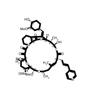 CO[C@H]1C[C@@H](C)C/C(C)=C/[C@@H](C/C=C/c2ccncc2)C(=O)C[C@H](O)[C@@H](C)[C@@H]2OC(=O)[C@@H]3C(CCCN3C(=O)C(=O)[C@]3(O)O[C@H]1[C@@H](OC)C[C@H]3C)/C2=C\[C@@H]1CC[C@@H](O)[C@H](OC)C1